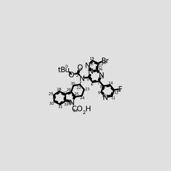 CC(C)(C)OC(=O)N(c1cc(-c2cncc(F)c2)nc2c(Br)cnn12)[C@@H]1CCc2c(c3ccccc3n2C(=O)O)C1